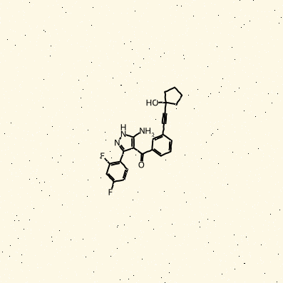 Nc1[nH]nc(-c2ccc(F)cc2F)c1C(=O)c1cccc(C#CC2(O)CCCC2)c1